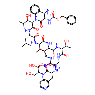 CC[C@H](C)[C@H](NC(=O)[C@@H](CCCNC(=N)N)NC(=O)[C@H](CC(C)C)NC(=O)[C@@H](NC(=O)[C@@H](NC(=O)OCc1ccccc1)[C@H](N)c1ccccc1)[C@H](O)C(C)C)C(=O)N[C@H](C(=O)NCC(=O)N[C@@H](Cc1cccnc1)C(=O)N[C@@H](CO)C(=O)O)[C@H](C)O